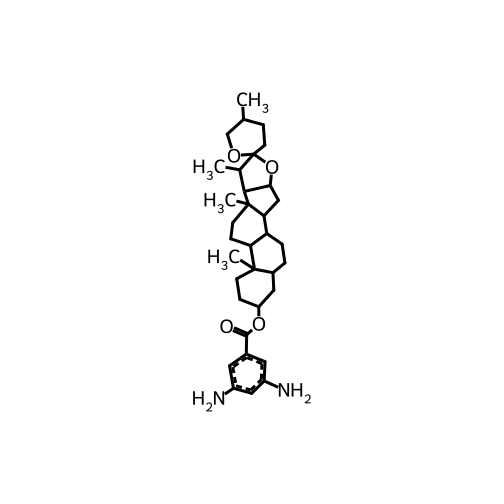 CC1CCC2(OC1)OC1CC3C4CCC5CC(OC(=O)c6cc(N)cc(N)c6)CCC5(C)C4CCC3(C)C1C2C